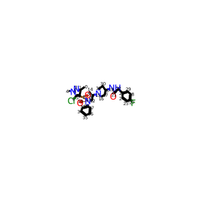 Cc1nn(C)c(Cl)c1S(=O)(=O)N(C[C@@H](C)N1CCC(NC(=O)Cc2ccc(F)cc2)CC1)c1ccccc1